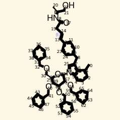 Cc1cccc2c1c(Cc1ccc(/C=C/CC(=O)N[C@@H](C)CO)cc1)cn2[C@@H]1O[C@H](COCc2ccccc2)[C@@H](OCc2ccccc2)[C@H](OCc2ccccc2)[C@H]1OCc1ccccc1